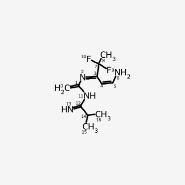 C=C(/N=C(\C=C/N)C(C)(F)F)NC(=N)C(C)C